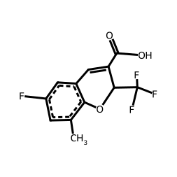 Cc1cc(F)cc2c1OC(C(F)(F)F)C(C(=O)O)=C2